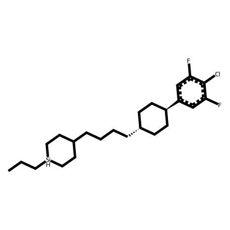 CCC[SiH]1CCC(CCCC[C@H]2CC[C@H](c3cc(F)c(Cl)c(F)c3)CC2)CC1